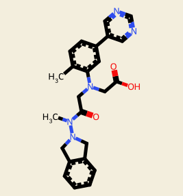 Cc1ccc(-c2cncnc2)cc1N(CC(=O)O)CC(=O)N(C)N1Cc2ccccc2C1